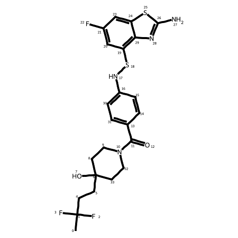 CC(F)(F)CCC1(O)CCN(C(=O)c2ccc(NSc3cc(F)cc4sc(N)nc34)cc2)CC1